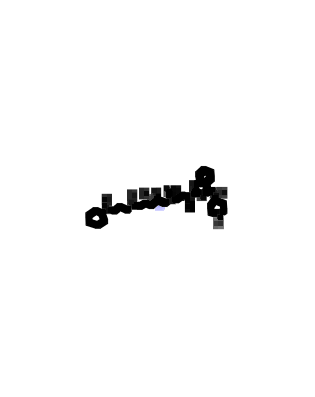 N/C(=C\N(N)CCNc1nc(NC2CCNCC2)c2ccccc2n1)CCCNCCCNC1CCCCC1